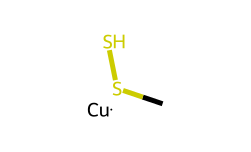 CSS.[Cu]